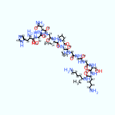 CC(C)C[C@H](NC(=O)[C@@H]1CCCN1C(=O)[C@H](CC(C)C)NC(=O)CNC(=O)[C@H](CC(N)=O)NC(=O)[C@H](CO)NC(=O)[C@@H](N)Cc1cnc[nH]1)C(=O)NCC(=O)NCC(=O)NCC(=O)N[C@@H](CO)C(=O)N[C@@H](CCCCN)C(=O)N[C@H](C)CCCCN